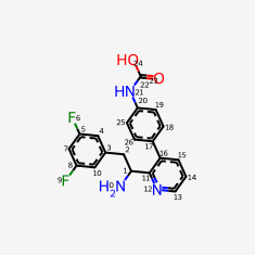 NC(Cc1cc(F)cc(F)c1)c1ncccc1-c1ccc(NC(=O)O)cc1